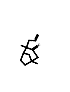 C=CCC1(C)C(=O)CC2(C)CCC1C2